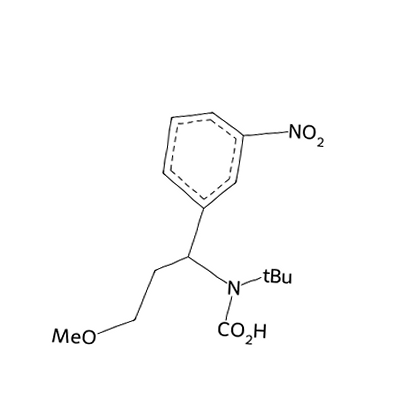 COCCC(c1cccc([N+](=O)[O-])c1)N(C(=O)O)C(C)(C)C